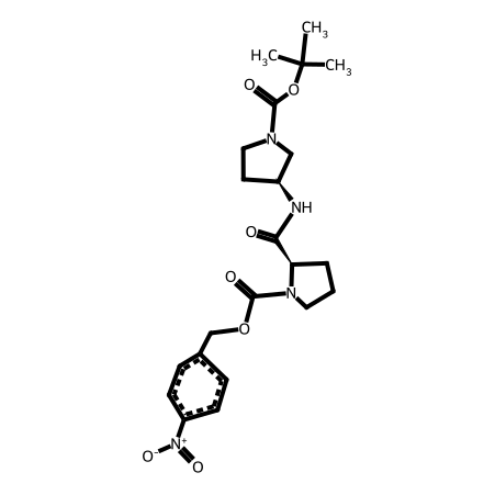 CC(C)(C)OC(=O)N1CC[C@H](NC(=O)[C@H]2CCCN2C(=O)OCc2ccc([N+](=O)[O-])cc2)C1